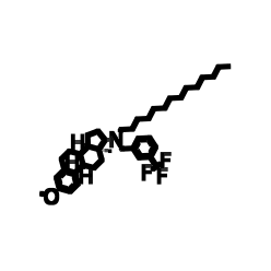 CCCCCCCCCCCCCCN(Cc1cccc(C(F)(F)F)c1)[C@H]1CC[C@H]2[C@@H]3CCc4cc(OC)ccc4[C@H]3CC[C@]12C